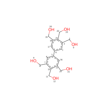 OCc1cc(-c2cc(CO)c(CO)c(CO)c2)cc(CO)c1CO